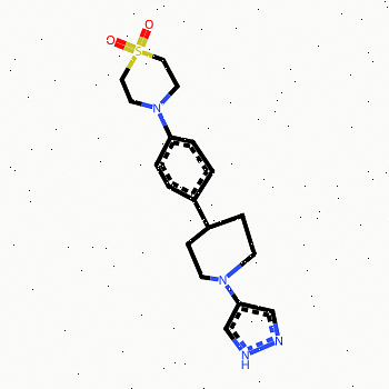 O=S1(=O)CCN(c2ccc(C3CCN(c4cn[nH]c4)CC3)cc2)CC1